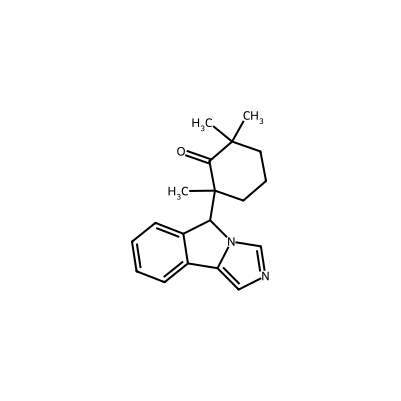 CC1(C)CCCC(C)(C2c3ccccc3-c3cncn32)C1=O